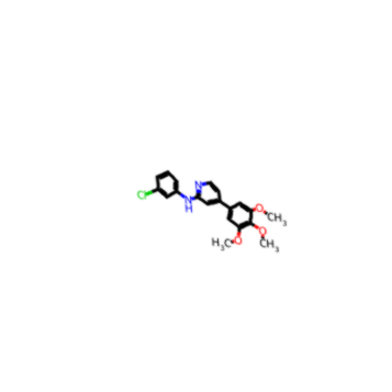 COc1cc(-c2ccnc(Nc3cccc(Cl)c3)c2)cc(OC)c1OC